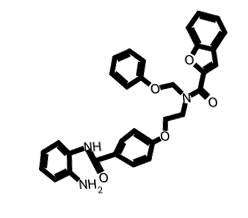 Nc1ccccc1NC(=O)c1ccc(OCCN(COc2ccccc2)C(=O)c2cc3ccccc3o2)cc1